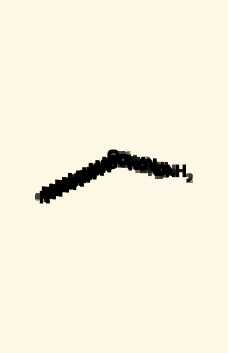 CN=NN=NN=NN=NN=NN=NN=NN=NN=NN=NOC(=O)c1ccc(N=Nc2ccc(N=Nc3ccc(N)cc3)cc2)cc1